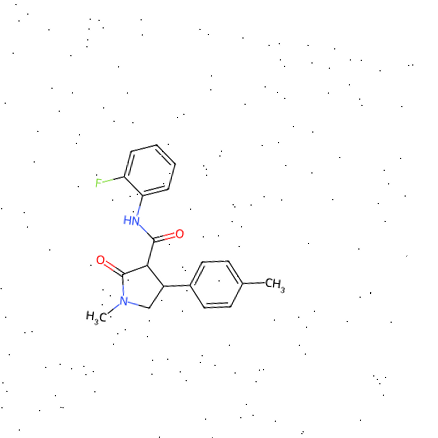 Cc1ccc(C2CN(C)C(=O)C2C(=O)Nc2ccccc2F)cc1